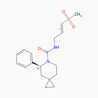 CS(=O)(=O)/C=C/CNC(=O)N1CCC2(CC2)C[C@H]1c1ccccc1